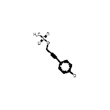 CS(=O)(=O)OCC#Cc1ccc(Cl)cc1